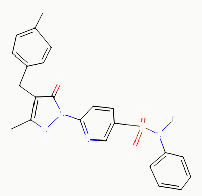 CCN(c1ccccc1)S(=O)(=O)c1ccc(-n2[nH]c(C)c(Cc3ccc(C(F)(F)F)cc3)c2=O)nc1